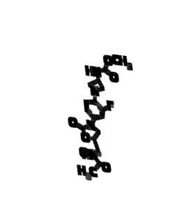 COC(=O)NC1CN(c2ccc(N3CC(C[N@H+]([O-])C(C)=O)OC3=O)cc2F)C1